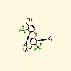 CCc1ccc(Sc2ccc(CC)c(C(F)(F)F)c2C#CC2CC2)c(C#CC2CC2)c1C(F)(F)F